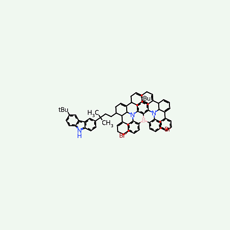 CC(C)(C)c1cc2c3c(c1)N(C1C(C4CC=CCC4)=CCC(CCC(C)(C)c4ccc5[nH]c6ccc(C(C)(C)C)cc6c5c4)C1C1=CCCCC1)c1cc(Br)ccc1B3c1ccc(Br)cc1N2C1C(c2ccccc2)=CC=CC1C1=CCCC=C1